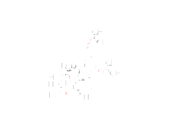 CC(C)OC[C@@H](C)C1CCC2C3C(OC(C)C)CC4CC(OC(C)C)CCC4C3C(C)C(OC(C)C)C21C